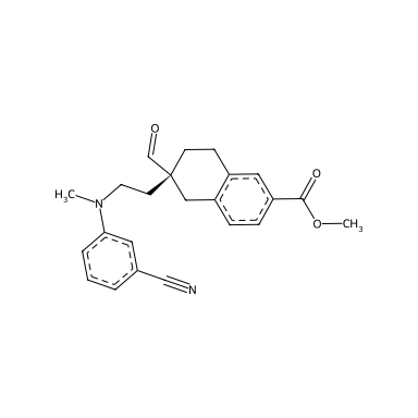 COC(=O)c1ccc2c(c1)CC[C@](C=O)(CCN(C)c1cccc(C#N)c1)C2